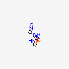 CN1CCN(c2cccc(-c3cc4c(Nc5ccccc5P(C)(C)=O)ccnc4[nH]3)c2)CC1